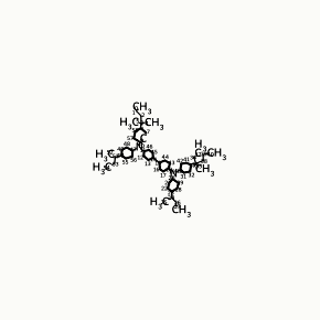 CCCC(C)(C)c1ccc(N(c2ccc(-c3ccc(N(c4ccc(C(C)CC)cc4)c4ccc(C(C)(CC)CCC)cc4)cc3)cc2)c2ccc(C(C)CC)cc2)cc1